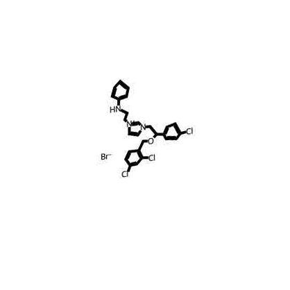 Clc1ccc(C(Cn2cc[n+](CCNc3ccccc3)c2)OCc2ccc(Cl)cc2Cl)cc1.[Br-]